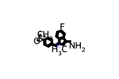 CC1=C(CN)c2cc(F)ccc2/C1=C\c1ccc([S+](C)[O-])cc1